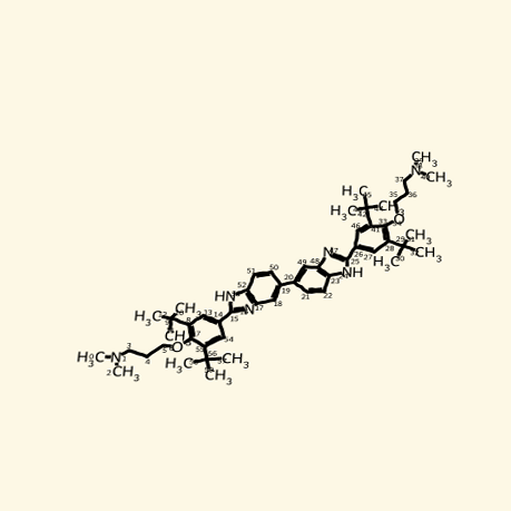 CN(C)CCCOc1c(C(C)(C)C)cc(-c2nc3cc(-c4ccc5[nH]c(-c6cc(C(C)(C)C)c(OCCCN(C)C)c(C(C)(C)C)c6)nc5c4)ccc3[nH]2)cc1C(C)(C)C